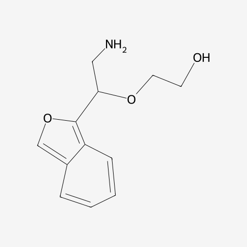 NCC(OCCO)c1occ2ccccc12